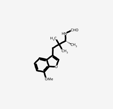 COc1cccc2c(CC(C)(C)[C@@H](C)NC=O)coc12